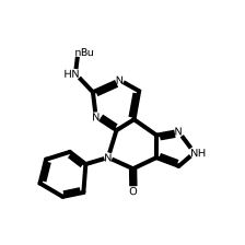 CCCCNc1ncc2c3n[nH]cc3c(=O)n(-c3ccccc3)c2n1